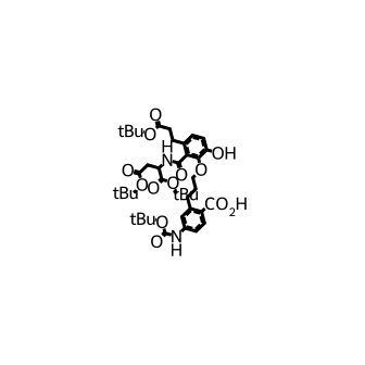 CC(C)(C)OC(=O)CCc1ccc(O)c(OCCCc2cc(NC(=O)OC(C)(C)C)ccc2C(=O)O)c1C(=O)NC(CC(=O)OC(C)(C)C)C(=O)OC(C)(C)C